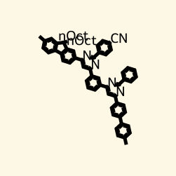 CCCCCCCCC1(CCCCCCCC)c2cc(C)ccc2-c2ccc(-c3cc(-c4cccc(-c5cc(-c6ccc(-c7ccc(C)cc7)cc6)nc(-c6ccccc6)n5)c4)nc(-c4ccc(C#N)cc4)n3)cc21